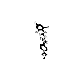 CC(C)c1cc(F)cc(C(C)C)c1NC(=O)NS(=O)(=O)C1CCN(C2CN(C)C2)CC1